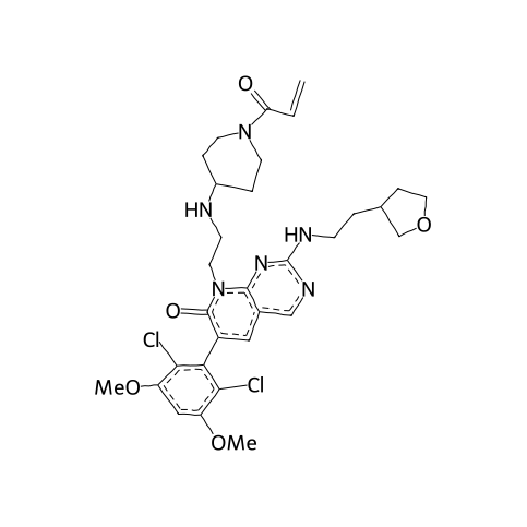 C=CC(=O)N1CCC(NCCn2c(=O)c(-c3c(Cl)c(OC)cc(OC)c3Cl)cc3cnc(NCCC4CCOC4)nc32)CC1